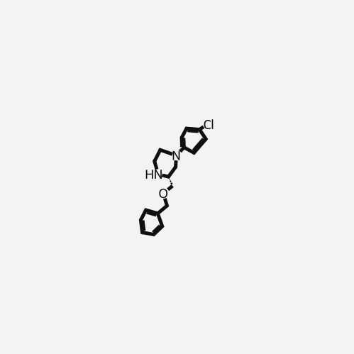 Clc1ccc(N2CCN[C@@H](COCc3ccccc3)C2)cc1